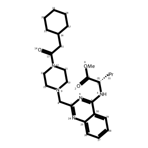 COC(=O)[C@@H](Nc1nc(CN2CCN(C(=O)CC3CCCCC3)CC2)nc2ccccc12)C(C)C